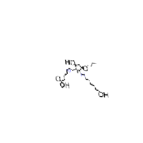 CCCCO[C@@H]1C[C@H](O)C(C/C=C\CCCC(=O)O)[C@H]1/C=C/CCCCCCO